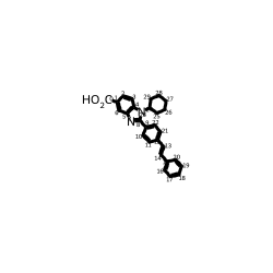 O=C(O)c1ccc2c(c1)nc(-c1ccc(C=Cc3ccccc3)cc1)n2C1CCCCC1